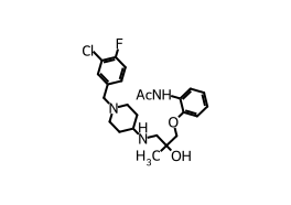 CC(=O)Nc1ccccc1OCC(C)(O)CNC1CCN(Cc2ccc(F)c(Cl)c2)CC1